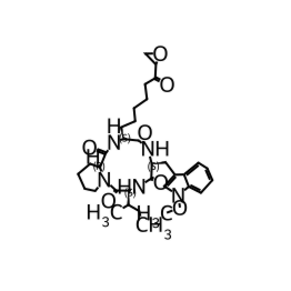 CCC(C)[C@@H]1NC(=O)[C@H](Cc2cn(OC)c3ccccc23)NC(=O)[C@H](CCCCCC(=O)C2CO2)NC(=O)[C@H]2CCCCN2C1=O